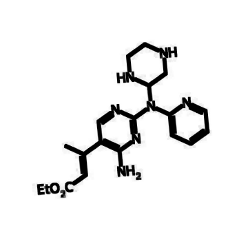 CCOC(=O)C=C(C)c1cnc(N(c2ccccn2)C2CNCCN2)nc1N